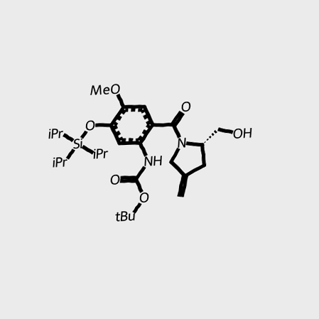 C=C1C[C@@H](CO)N(C(=O)c2cc(OC)c(O[Si](C(C)C)(C(C)C)C(C)C)cc2NC(=O)OC(C)(C)C)C1